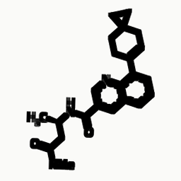 CNC(=O)C[C@@H](C)NC(=O)c1cnc2c(C3=CCC4(CC3)CC4)cccc2c1